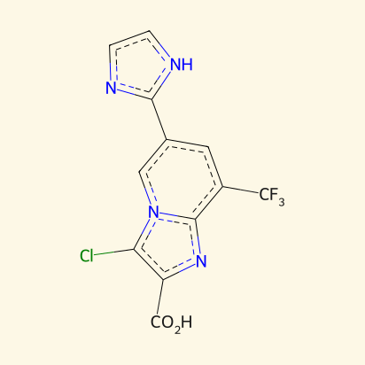 O=C(O)c1nc2c(C(F)(F)F)cc(-c3ncc[nH]3)cn2c1Cl